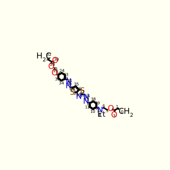 C=CC(=O)OCCN(CC)c1ccc(N=Nc2nc3sc(N=Nc4ccc(OCOC(=O)C=C)cc4)cc3s2)cc1